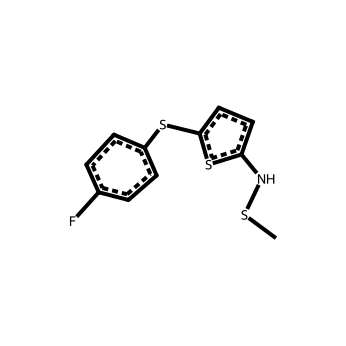 CSNc1ccc(Sc2ccc(F)cc2)s1